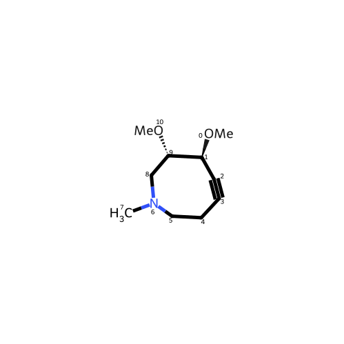 CO[C@H]1C#CCCN(C)C[C@@H]1OC